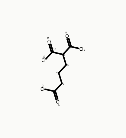 O=C(Cl)CCCC(C(=O)Cl)C(=O)Cl